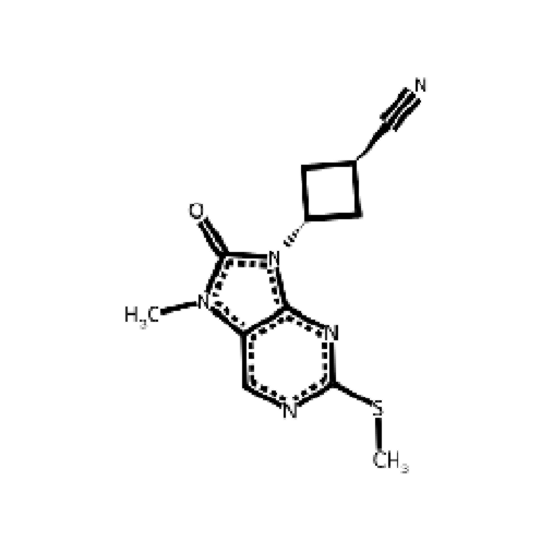 CSc1ncc2c(n1)n([C@H]1C[C@H](C#N)C1)c(=O)n2C